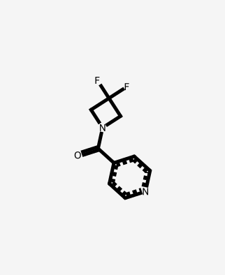 O=C(c1ccncc1)N1CC(F)(F)C1